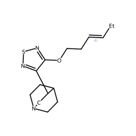 CC/C=C/CCOc1nsnc1C1CN2CCC1CC2